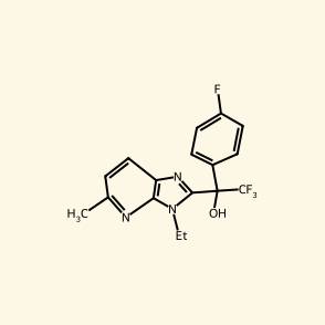 CCn1c(C(O)(c2ccc(F)cc2)C(F)(F)F)nc2ccc(C)nc21